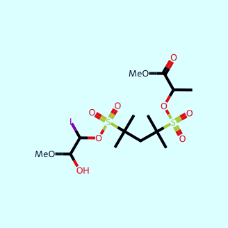 COC(=O)C(C)OS(=O)(=O)C(C)(C)CC(C)(C)S(=O)(=O)OC(I)C(O)OC